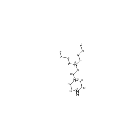 CCCCN(CCCC)CCN1CCNCC1